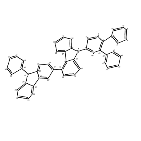 c1ccc(-c2nnc(-n3c4ccccc4c4c(-c5ccc6c(c5)c5ccccc5n6-c5ccccc5)cccc43)nc2-c2ccccc2)cc1